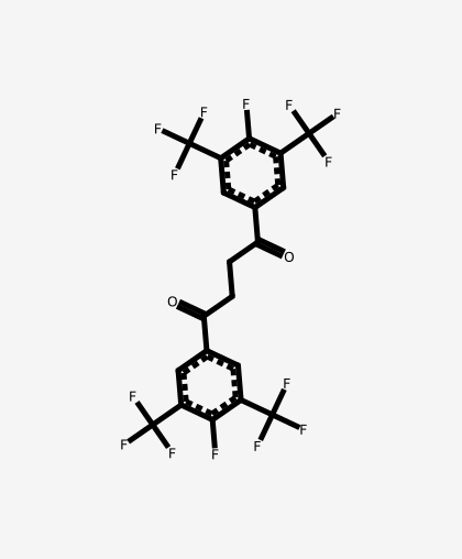 O=C(CCC(=O)c1cc(C(F)(F)F)c(F)c(C(F)(F)F)c1)c1cc(C(F)(F)F)c(F)c(C(F)(F)F)c1